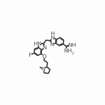 CN1CCCC1CCOc1cc(F)cc2[nH]c(Cc3nc4cc(C(=N)N)ccc4[nH]3)nc12